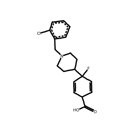 O=C(O)C1C=CC(F)(C2CCN(Cc3ccccc3Cl)CC2)C=C1